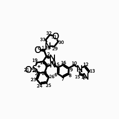 O=C(c1nn(-c2cccc(Cn3ccnc3)c2)c2c1C[S+]([O-])c1ccccc1-2)N1CCOCC1